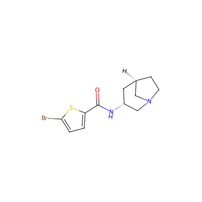 O=C(N[C@@H]1C[C@H]2CCN(C2)C1)c1ccc(Br)s1